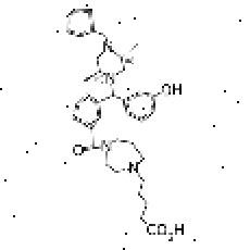 C[C@@H]1CN(C(c2cccc(O)c2)c2cccc(C(=O)N3CCCN(CCCCC(=O)O)CC3)c2)[C@@H](C)CN1Cc1ccccc1